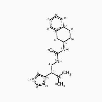 CN(C)[C@@H](CNC(=O)N[C@@H]1CCc2ccccc2C1)c1ccsc1